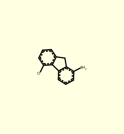 Bc1cccc2c1Cc1cccc(Cl)c1-2